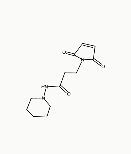 O=C(CCN1C(=O)C=CC1=O)NN1CCCCC1